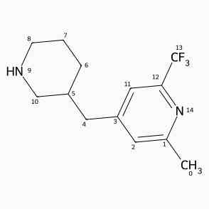 Cc1cc(CC2CCCNC2)cc(C(F)(F)F)n1